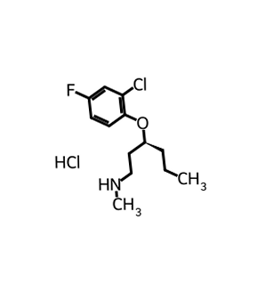 CCC[C@@H](CCNC)Oc1ccc(F)cc1Cl.Cl